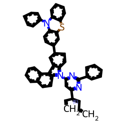 C=C/C=C(\C=C)c1cc(-n2c3ccc(-c4ccc5c(c4)Sc4ccccc4N5c4ccccc4)cc3c3c4ccccc4ccc32)nc(-c2ccccc2)n1